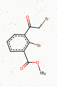 CC(C)(C)OC(=O)c1cccc(C(=O)CBr)c1Br